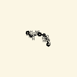 N#Cc1cc(C2CCC(C(=O)Nc3nnc(-c4ccccn4)[nH]3)C2)ccc1OCC(=O)Nc1nnc(-c2ccccn2)[nH]1